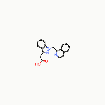 O=C(O)Cc1nn(Cc2nccc3ccccc23)c2ccccc12